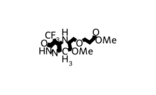 COC(=O)CCOCC(Nc1cn[nH]c(=O)c1C(F)(F)F)C(C)OC